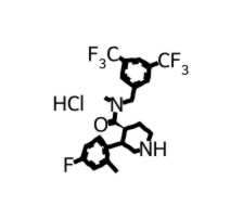 Cc1cc(F)ccc1C1CNCC[C@@H]1C(=O)N(C)Cc1cc(C(F)(F)F)cc(C(F)(F)F)c1.Cl